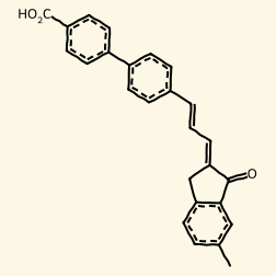 Cc1ccc2c(c1)C(=O)/C(=C/C=C/c1ccc(-c3ccc(C(=O)O)cc3)cc1)C2